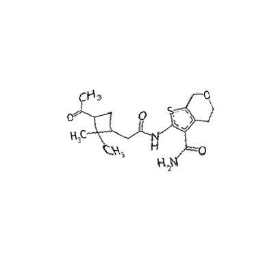 CC(=O)C1CC(CC(=O)Nc2sc3c(c2C(N)=O)CCOC3)C1(C)C